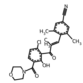 C/C(=C\c1c(C)cc(C#N)cc1C)C(=O)c1c(Cl)ccc(C(=O)N2CCOCC2)c1O